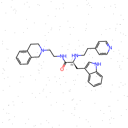 O=C(NCCN1CCc2ccccc2C1)[C@H](Cc1c[nH]c2ccccc12)NCCc1ccncc1